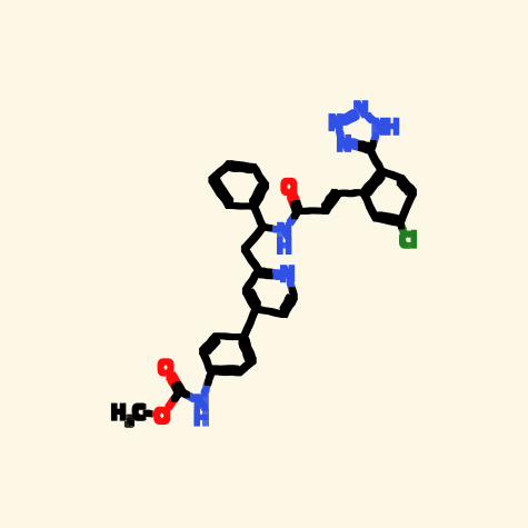 COC(=O)Nc1ccc(-c2ccnc(CC(NC(=O)/C=C/c3cc(Cl)ccc3-c3nnn[nH]3)c3ccccc3)c2)cc1